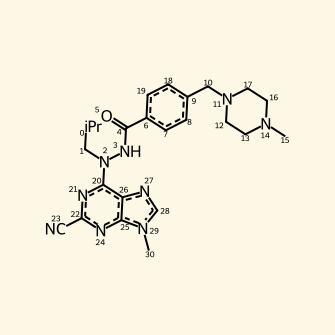 CC(C)CN(NC(=O)c1ccc(CN2CCN(C)CC2)cc1)c1nc(C#N)nc2c1ncn2C